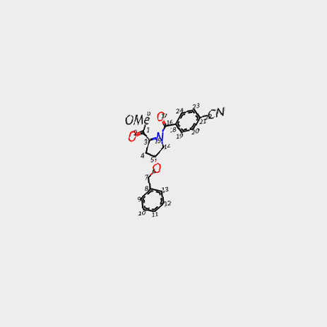 COC(=O)[C@@H]1C[C@@H](OCc2ccccc2)CN1C(=O)c1ccc(C#N)cc1